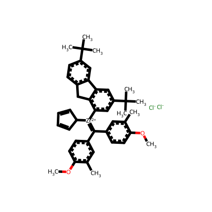 COc1ccc([C](c2ccc(OC)c(C)c2)=[Zr+2]([c]2cc(C(C)(C)C)cc3c2Cc2ccc(C(C)(C)C)cc2-3)[CH]2C=CC=C2)cc1C.[Cl-].[Cl-]